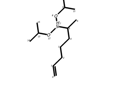 C=CCCCC(C)[SiH](OC(C)C)OC(C)C